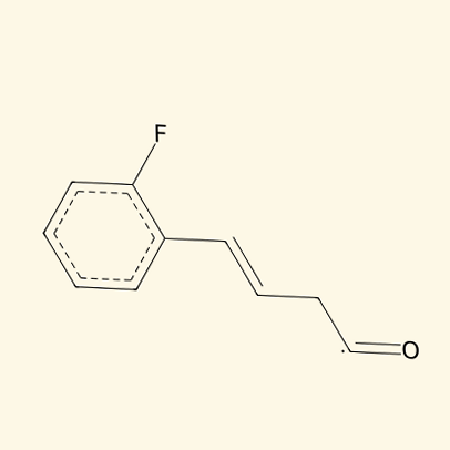 O=[C]CC=Cc1ccccc1F